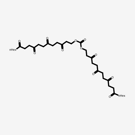 CCCCCCC(=O)CCC(=O)CCC(=O)CCC(=O)CCOC(=O)OCCC(=O)CCC(=O)CCC(=O)CCC(=O)CCCCCC